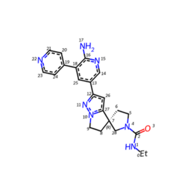 CCNC(=O)N1CC[C@@]2(CCn3nc(-c4cnc(N)c(-c5ccncc5)c4)cc32)C1